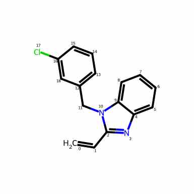 C=Cc1nc2ccccc2n1Cc1cccc(Cl)c1